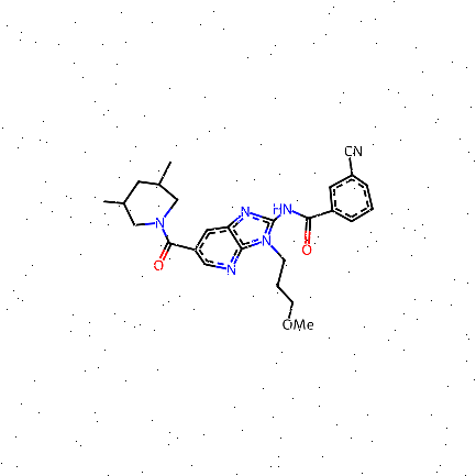 COCCCn1c(NC(=O)c2cccc(C#N)c2)nc2cc(C(=O)N3CC(C)CC(C)C3)cnc21